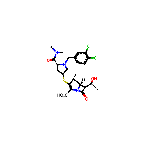 C[C@@H](O)[C@H]1C(=O)N2C(C(=O)O)=C(S[C@H]3C[C@@H](C(=O)N(C)C)N(Cc4ccc(Cl)c(Cl)c4)C3)[C@H](C)[C@H]12